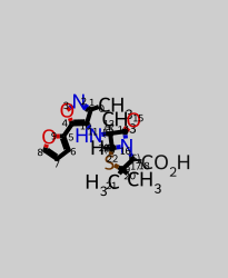 Cc1noc(-c2ccco2)c1N[C@@]1(C)C(=O)N2[C@@H](C(=O)O)C(C)(C)S[C@@H]21